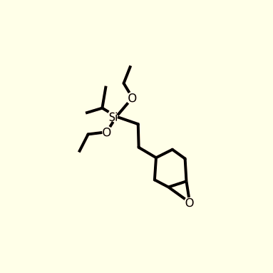 CCO[Si](CCC1CCC2OC2C1)(OCC)C(C)C